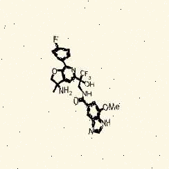 COc1cc(C(=O)NCC(O)(c2cc3c(c(-c4ccc(F)cc4)n2)OCC3(C)N)C(F)(F)F)cc2nc[nH]c12